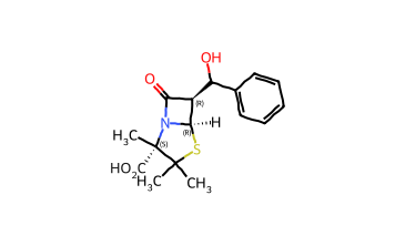 CC1(C)S[C@@H]2[C@H](C(O)c3ccccc3)C(=O)N2[C@@]1(C)C(=O)O